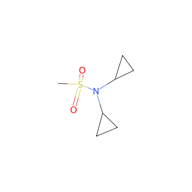 CS(=O)(=O)N(C1CC1)C1CC1